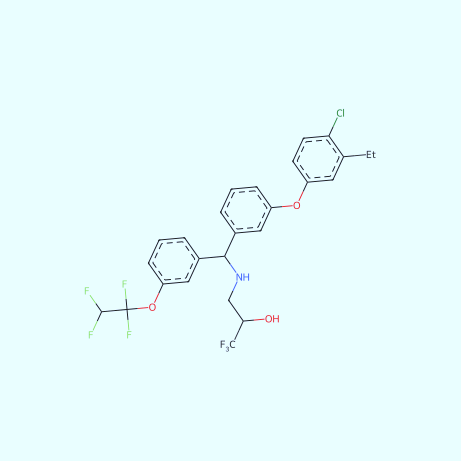 CCc1cc(Oc2cccc(C(NCC(O)C(F)(F)F)c3cccc(OC(F)(F)C(F)F)c3)c2)ccc1Cl